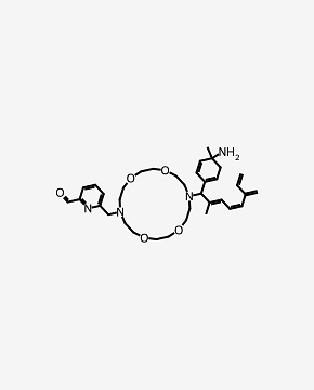 C=CC(=C)/C=C\C=C(/C)C(C1=CCC(C)(N)C=C1)N1CCOCCOCCN(Cc2cccc(C=O)n2)CCOCCOCC1